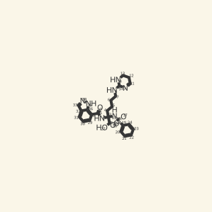 O=C(NC(CCCCNC1N=CCCN1)(NS(=O)(=O)c1ccccc1)C(=O)O)c1cccc2cn[nH]c12